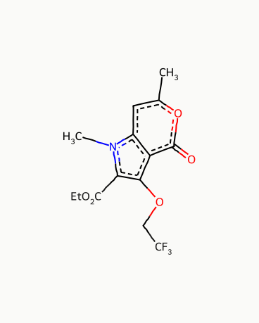 CCOC(=O)c1c(OCC(F)(F)F)c2c(=O)oc(C)cc2n1C